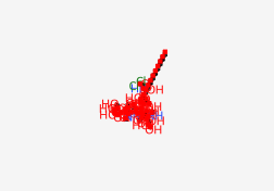 CCCCCCCCCCCCC/C=C/C(O)C(COC1OC(CO)C(OC2OC(CO)C(OC3OC(CO)C(O)C(OC4OC(CO)C(O)C(O)C4O)C3NC(C)=O)C(OC3(C(=O)O)CC(O)C(NC(C)=O)C(C(O)C(O)CO)O3)C2O)C(O)C1O)NC(=O)C(Cl)Cl